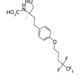 C[C@](CO)(CCc1ccc(OCCCC(F)(F)C(F)(F)F)cc1)NC(=O)O